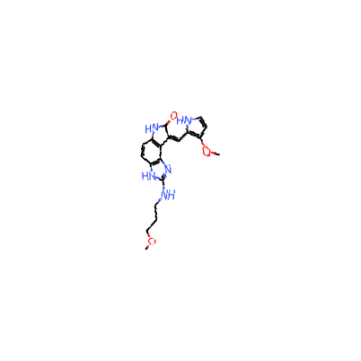 COCCCNc1nc2c3c(ccc2[nH]1)NC(=O)C3=Cc1[nH]ccc1OC